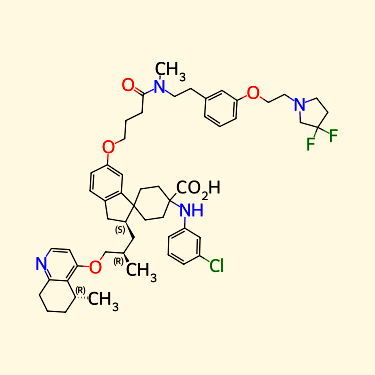 C[C@@H](COc1ccnc2c1[C@H](C)CCC2)C[C@H]1Cc2ccc(OCCCC(=O)N(C)CCc3cccc(OCCN4CCC(F)(F)C4)c3)cc2C12CCC(Nc1cccc(Cl)c1)(C(=O)O)CC2